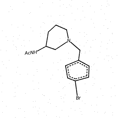 CC(=O)NC1CCCN(Cc2ccc(Br)cc2)C1